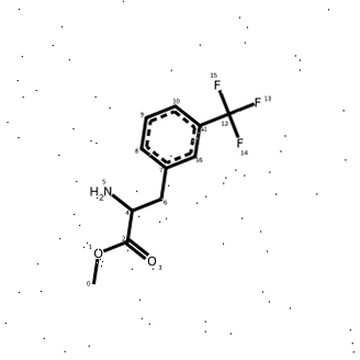 COC(=O)C(N)Cc1cccc(C(F)(F)F)c1